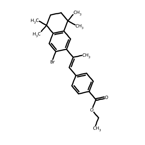 CCOC(=O)c1ccc(/C=C(\C)c2cc3c(cc2Br)C(C)(C)CCC3(C)C)cc1